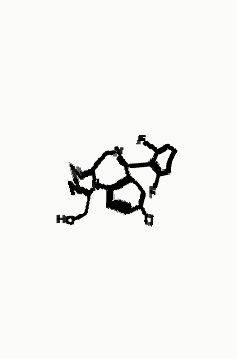 OCc1nnc2n1-c1ccc(Cl)cc1C(c1c(F)cccc1F)=NC2